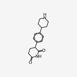 O=C1CCC(c2ccc(C3CCNCC3)cc2)C(=O)N1